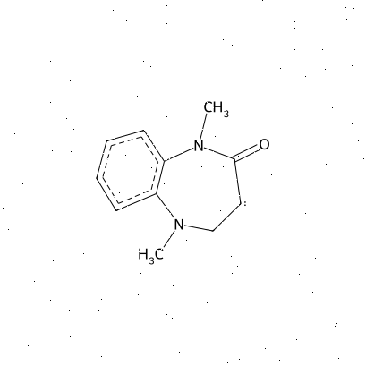 CN1C[C]C(=O)N(C)c2ccccc21